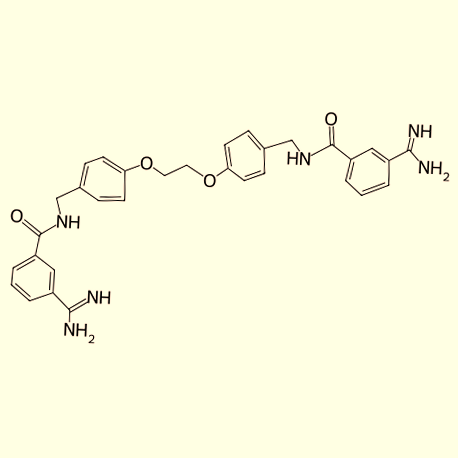 N=C(N)c1cccc(C(=O)NCc2ccc(OCCOc3ccc(CNC(=O)c4cccc(C(=N)N)c4)cc3)cc2)c1